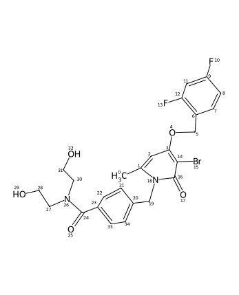 Cc1cc(OCc2ccc(F)cc2F)c(Br)c(=O)n1Cc1ccc(C(=O)N(CCO)CCO)cc1